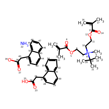 C=C(C)C(=O)OCC[N+](C)(CCOC(=O)C(=C)C)C(C)(C)C.N.O=C(O)Cc1cccc2ccccc12.O=C([O-])Cc1cccc2ccccc12